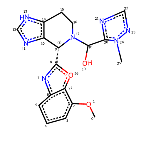 COc1cccc2nc([C@@H]3c4nc[nH]c4CCN3C(O)c3ncnn3C)oc12